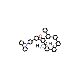 CC(C)(c1cccc(-c2cccc(-c3cccc(-c4cccc(-c5cccc(-c6ccccc6)c5)c4)c3)c2)c1)c1ccc2oc3ccc(-c4ccc(-n5c6ccccc6c6ccccc65)cc4)cc3c2c1